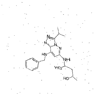 CC(O)CC(O)Nc1cc(NCc2ccccc2)c2nnc(C(C)C)n2n1